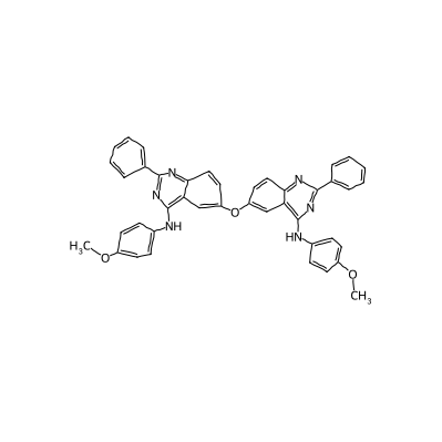 COc1ccc(Nc2nc(-c3ccccc3)nc3ccc(Oc4ccc5nc(-c6ccccc6)nc(Nc6ccc(OC)cc6)c5c4)cc23)cc1